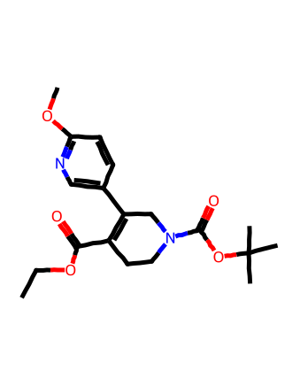 CCOC(=O)C1=C(c2ccc(OC)nc2)CN(C(=O)OC(C)(C)C)CC1